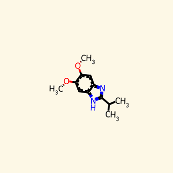 COc1cc2nc(C(C)C)[nH]c2cc1OC